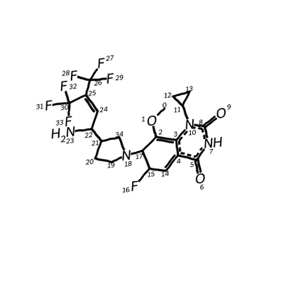 COC1=c2c(c(=O)[nH]c(=O)n2C2CC2)=CC(F)C1N1CCC(C(N)C=C(C(F)(F)F)C(F)(F)F)C1